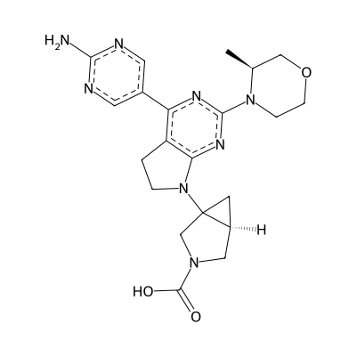 C[C@H]1COCCN1c1nc(-c2cnc(N)nc2)c2c(n1)N(C13C[C@H]1CN(C(=O)O)C3)CC2